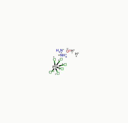 [Cl][Pt-2]([Cl])([Cl])([Cl])([Cl])[Cl].[H+].[H+].[NH4+].[NH4+].[O-2]